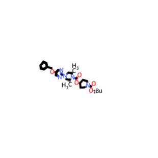 C[C@@H]1CN(c2ncc(OCc3ccccc3)cn2)C[C@H](C)N1C(=O)OC1CCN(C(=O)OC(C)(C)C)CC1